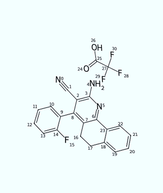 N#Cc1c(N)nc2c(c1-c1ccccc1F)CCc1ccccc1-2.O=C(O)C(F)(F)F